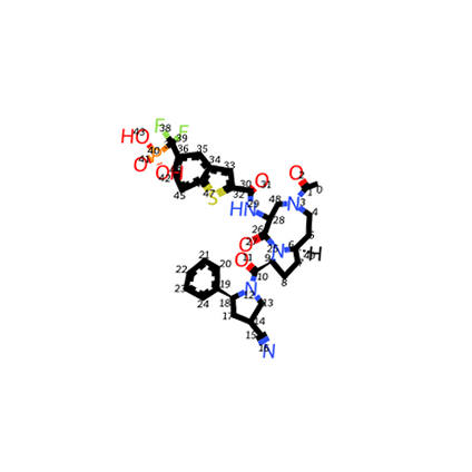 CC(=O)N1CC[C@H]2CC[C@@H](C(=O)N3CC(C#N)C[C@H]3c3ccccc3)N2C(=O)C(NC(=O)c2cc3cc(C(F)(F)P(=O)(O)O)ccc3s2)C1